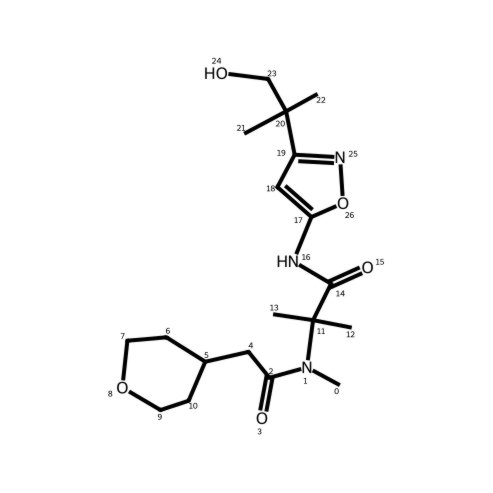 CN(C(=O)CC1CCOCC1)C(C)(C)C(=O)Nc1cc(C(C)(C)CO)no1